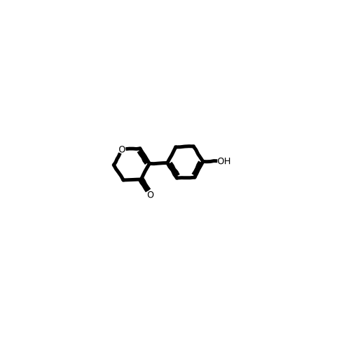 O=C1CCOC=C1C1=CC=C(O)CC1